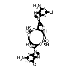 Nc1nc2c(ncn2[C@@H]2O[C@@H]3CO[P@](=O)(S)OC4C5C(O[C@@H]4CO[P@@](=O)(S)OC2C3O)C5n2cnc3c(N)nc(Cl)nc32)c(=O)[nH]1